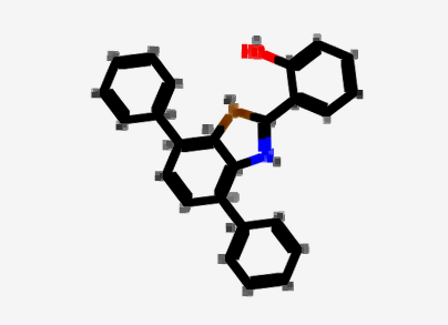 Oc1ccccc1-c1nc2c(-c3ccccc3)ccc(-c3ccccc3)c2s1